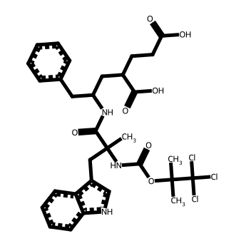 CC(Cc1c[nH]c2ccccc12)(NC(=O)OC(C)(C)C(Cl)(Cl)Cl)C(=O)NC(Cc1ccccc1)CC(CCC(=O)O)C(=O)O